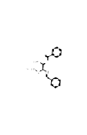 CCCCCCCCOC(N=Cc1ccccc1)C(CCC)OC(=O)c1ccccc1